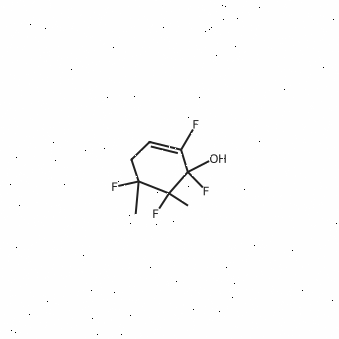 CC1(F)CC=C(F)C(O)(F)C1(C)F